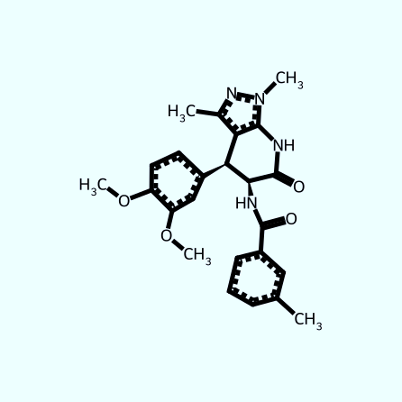 COc1ccc([C@H]2c3c(C)nn(C)c3NC(=O)[C@H]2NC(=O)c2cccc(C)c2)cc1OC